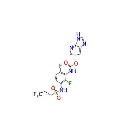 O=C(Nc1c(F)ccc(NS(=O)(=O)CCC(F)(F)F)c1F)Oc1cnc2[nH]cnc2c1